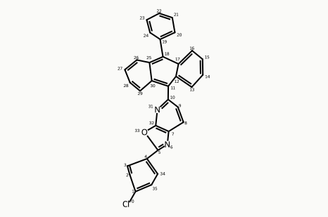 Clc1ccc(-c2nc3ccc(-c4c5ccccc5c(-c5ccccc5)c5ccccc45)nc3o2)cc1